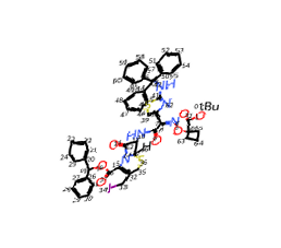 CC(C)(C)OC(=O)C1(O/N=C(\C(=O)NC2C(=O)N3C(C(=O)OC(c4ccccc4)c4ccccc4)=C(CI)CS[C@@H]23)c2csc(NC(c3ccccc3)(c3ccccc3)c3ccccc3)n2)CCC1